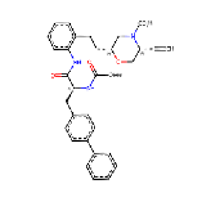 C#C[C@@H]1CO[C@H](CCc2ccccc2NC(=O)[C@H](Cc2ccc(-c3ccccc3)cc2)NC(=O)OC)CN1C(=O)O